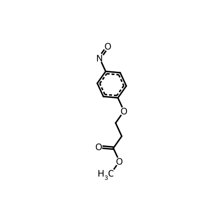 COC(=O)CCOc1ccc(N=O)cc1